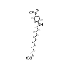 CC(C)(C)CCCCCCCCCCCCNc1ccc(C(=O)Cl)cc1